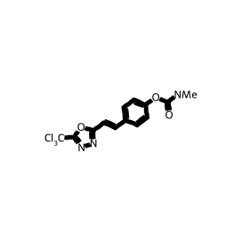 CNC(=O)Oc1ccc(C=Cc2nnc(C(Cl)(Cl)Cl)o2)cc1